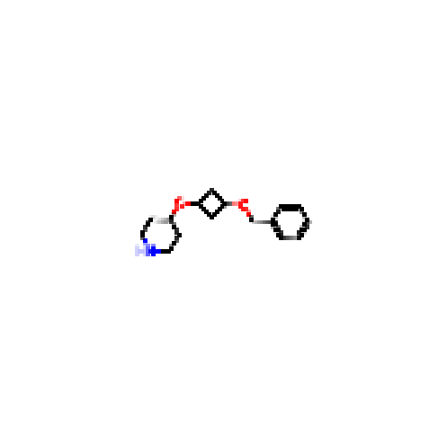 C1=C(OC2CC(OCc3ccccc3)C2)CCNC1